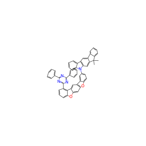 CC1(C)c2ccccc2-c2cc3c4ccccc4n(-c4ccc5oc6cc7oc8cccc(-c9nc(-c%10ccccc%10)nc(-c%10ccccc%10)n9)c8c7cc6c5c4)c3cc21